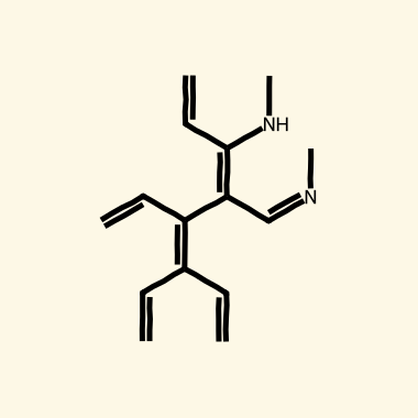 C=CC(C=C)=C(C=C)C(/C=N\C)=C(\C=C)NC